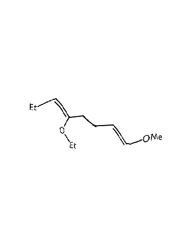 CCC=C(CCC=COC)OCC